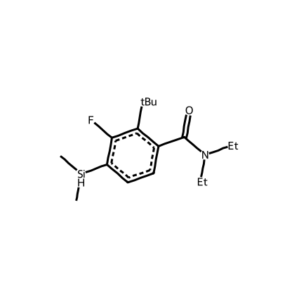 CCN(CC)C(=O)c1ccc([SiH](C)C)c(F)c1C(C)(C)C